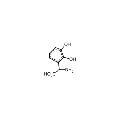 NC(C(=O)O)c1cccc(O)c1O